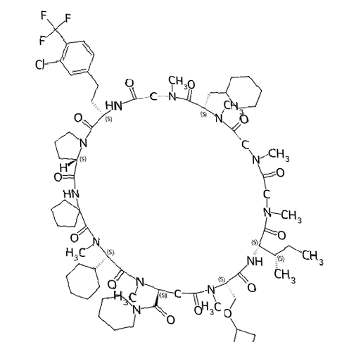 CC[C@H](C)[C@@H]1NC(=O)[C@H](COC2CCC2)N(C)C(=O)C[C@@H](C(=O)N2CCCCC2)N(C)C(=O)[C@H](C2CCCCC2)N(C)C(=O)C2(CCCC2)NC(=O)[C@@H]2CCCN2C(=O)[C@H](CCc2ccc(C(F)(F)F)c(Cl)c2)NC(=O)CN(C)C(=O)[C@H](CC2CCCCC2)N(C)C(=O)CN(C)C(=O)CN(C)C1=O